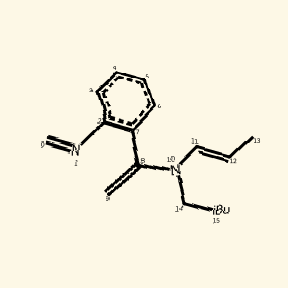 C=Nc1ccccc1C(=C)N(/C=C/C)CC(C)CC